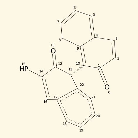 O=C1C=CC2=CC=CCC2=C1[C@H]1C(=O)C([PH])=Cc2ccccc21